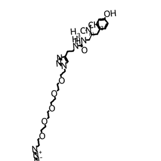 CN(C)[C@H](CNC(=O)NCCc1cn(CCOCCOCCOCCOCCOCCN=[N+]=[N-])nn1)Cc1ccc(O)cc1